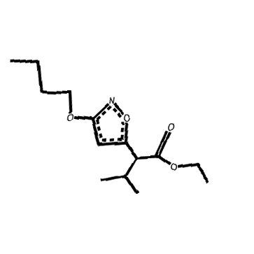 CCCCOc1cc(C(C(=O)OCC)C(C)C)on1